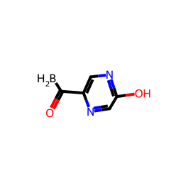 BC(=O)c1cnc(O)cn1